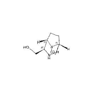 O=C(O)N1[C@@H]2CC[C@H]1[C@H](CO)NC2